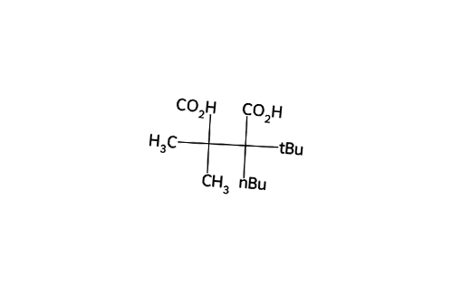 CCCCC(C(=O)O)(C(C)(C)C)C(C)(C)C(=O)O